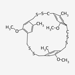 COc1cc2c(C)cc1CSSCc1cc(OC)c(cc1C)CSSCc1cc(C)c(cc1OC)CSSC2